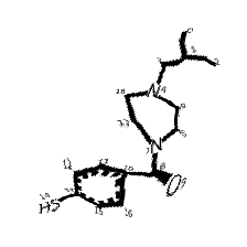 CC(C)CN1CCN(C(=O)c2ccc(S)cc2)CC1